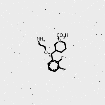 NCCO[C@@H](c1cccc(F)c1F)C1CCCN(C(=O)O)C1